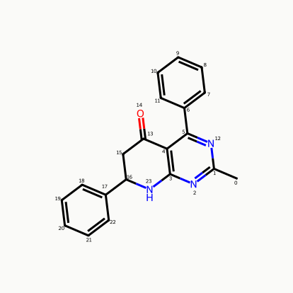 Cc1nc2c(c(-c3ccccc3)n1)C(=O)CC(c1ccccc1)N2